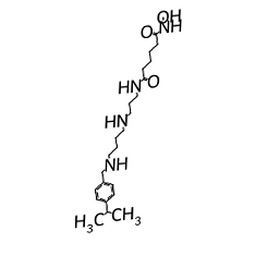 CC(C)c1ccc(CNCCCCNCCCNC(=O)CCCCC(=O)NO)cc1